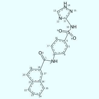 O=C(Nc1ccc(S(=O)(=O)Nc2nc[nH]n2)cc1)c1ccc2ccccc2c1